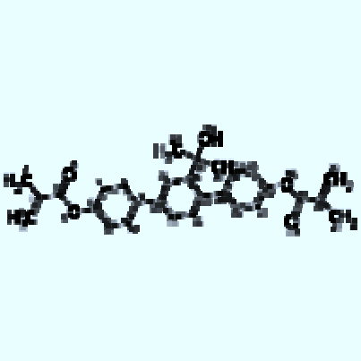 C=C(C)C(=O)Oc1ccc(-c2ccc(-c3ccc(OC(=O)C(=C)C)cc3)c(C(C)(C)O)c2)cc1